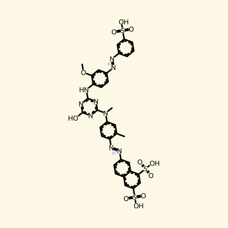 COc1cc(/N=N/c2cccc(S(=O)(=O)O)c2)ccc1Nc1nc(O)nc(N(C)c2ccc(/N=N/c3ccc4cc(S(=O)(=O)O)cc(S(=O)(=O)O)c4c3)c(C)c2)n1